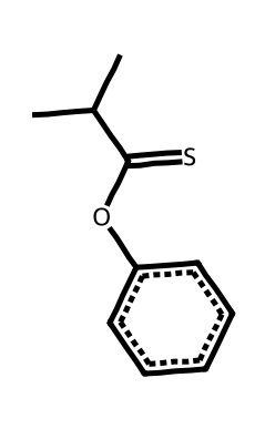 CC(C)C(=S)Oc1ccccc1